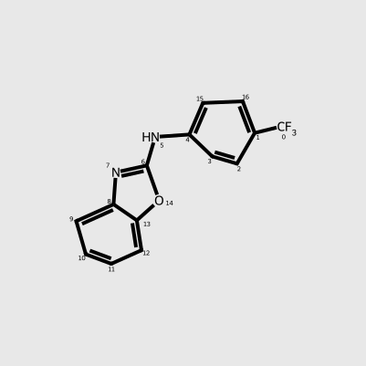 FC(F)(F)c1ccc(Nc2nc3ccccc3o2)cc1